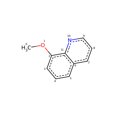 COc1cccc2[c]ccnc12